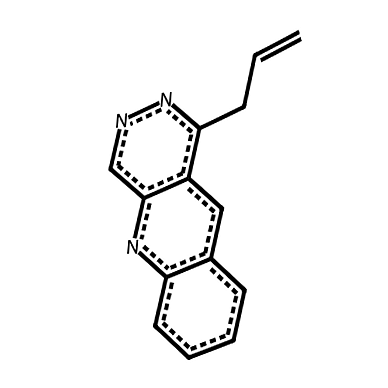 C=CCc1nncc2nc3ccccc3cc12